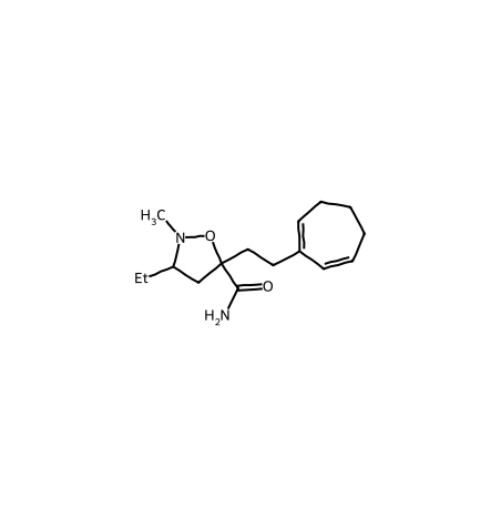 CCC1CC(CCC2=CCCCC=C2)(C(N)=O)ON1C